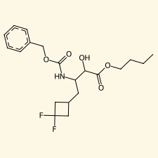 CCCCOC(=O)C(O)C(CC1CC(F)(F)C1)NC(=O)OCc1ccccc1